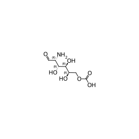 N[C@@H](C=O)[C@@H](O)[C@@H](O)[C@H](O)COC(=O)O